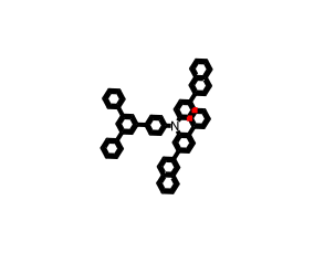 c1ccc(-c2cc(-c3ccccc3)cc(-c3ccc(N(c4ccc(-c5ccc6ccccc6c5)cc4)c4cc(-c5ccc6ccccc6c5)ccc4-c4ccccc4)cc3)c2)cc1